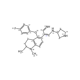 CC1CCc2c(ccc(/C(C=N)=C/NC3CCNC3)c2Oc2ccc(F)cc2)N1C